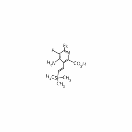 CCc1nc(C(=O)O)c(C=C[Si](C)(C)C)c(N)c1F